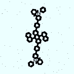 CC12CCCCC1(C)N(c1ccccc1)c1ccc(-c3ccc(-c4ccc5c(-c6cccc7ccccc67)c6cc(-c7ccc(-c8ccc9c(c8)C8(C)CCCCC8(C)N9c8ccccc8)cc7)ccc6c(-c6cccc7ccccc67)c5c4)cc3)cc12